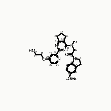 COc1ccc2c(c1)CCN2C(=O)CN(C)c1nc(-c2cc(OCCO)ccn2)nc2c1CCC2